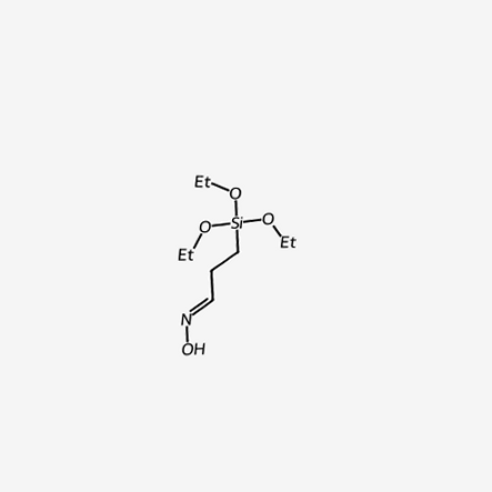 CCO[Si](CCC=NO)(OCC)OCC